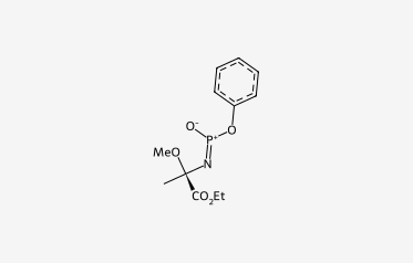 CCOC(=O)[C@](C)(N=[P+]([O-])Oc1ccccc1)OC